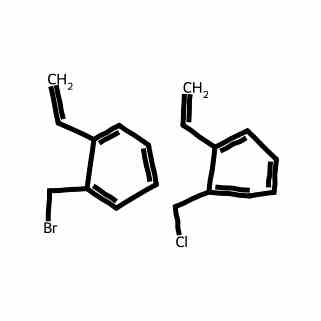 C=Cc1ccccc1CBr.C=Cc1ccccc1CCl